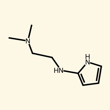 CN(C)CCNc1ccc[nH]1